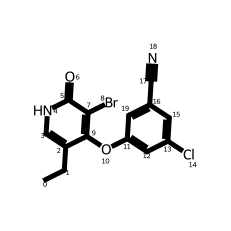 CCc1c[nH]c(=O)c(Br)c1Oc1cc(Cl)cc(C#N)c1